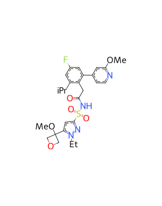 CCn1nc(S(=O)(=O)NC(=O)Cc2c(-c3ccnc(OC)c3)cc(F)cc2C(C)C)cc1C1(OC)COC1